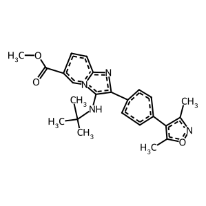 COC(=O)c1ccc2nc(-c3ccc(-c4c(C)noc4C)cc3)c(NC(C)(C)C)n2c1